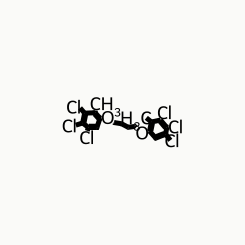 Cc1c(OCCCCOc2cc(Cl)c(Cl)c(Cl)c2C)cc(Cl)c(Cl)c1Cl